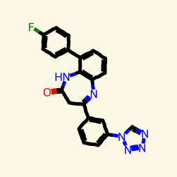 O=C1CC(c2cccc(-n3cnnn3)c2)=Nc2cccc(-c3ccc(F)cc3)c2N1